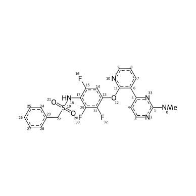 CNc1nccc(-c2cccnc2Oc2cc(F)c(NS(=O)(=O)Cc3ccccc3)c(F)c2F)n1